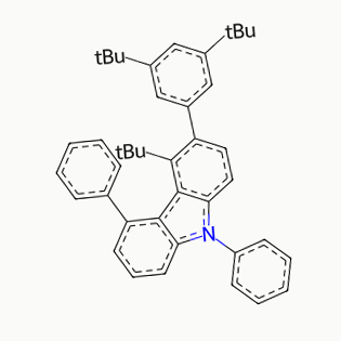 CC(C)(C)c1cc(-c2ccc3c(c2C(C)(C)C)c2c(-c4ccccc4)cccc2n3-c2ccccc2)cc(C(C)(C)C)c1